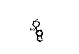 OC1(c2ccc3occc3c2)CCOCC1